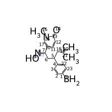 Bc1ccc(C(C/C(=N\O)c2ccc(=O)n(C)c2)CC(C)C)cc1